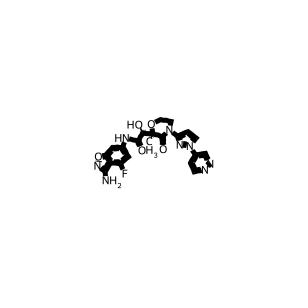 C[C@]1([C@@H](O)C(=O)Nc2cc(F)c3c(N)noc3c2)OCCN(c2ccn(-c3ccnnc3)n2)C1=O